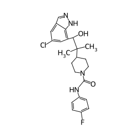 CC(C)(C1CCN(C(=O)Nc2ccc(F)cc2)CC1)C(O)c1cc(Cl)cc2cn[nH]c12